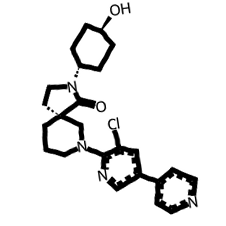 O=C1N([C@H]2CC[C@H](O)CC2)CC[C@]12CCCN(c1ncc(-c3ccncc3)cc1Cl)C2